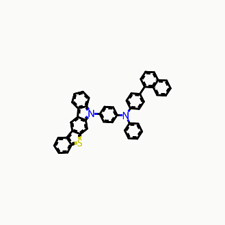 c1ccc(N(c2ccc(-c3cccc4ccccc34)cc2)c2ccc(-n3c4ccccc4c4cc5c(cc43)sc3ccccc35)cc2)cc1